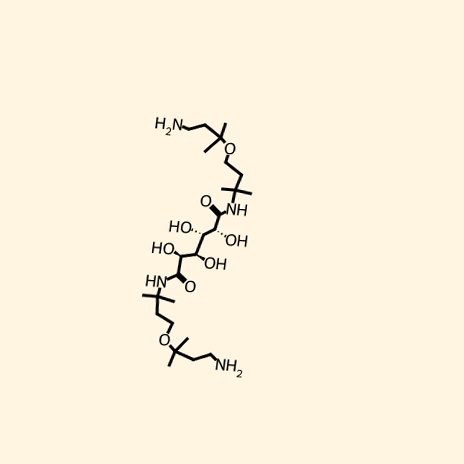 CC(C)(CCOC(C)(C)CCN)NC(=O)[C@@H](O)[C@H](O)[C@H](O)[C@@H](O)C(=O)NC(C)(C)CCOC(C)(C)CCN